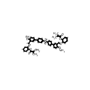 C=C(C)C(=O)OC1CCCCC1OCc1cc(-c2ccc(S(=O)(=O)c3ccc(-c4ccc(OC)c(COC5CCCCC5OC(=O)C(=C)C)c4)cc3)cc2)ccc1OC